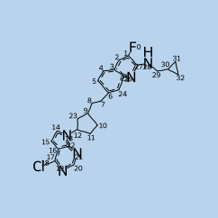 Fc1cc2ccc(CCC3CCC(n4ccc5c(Cl)ncnc54)C3)cc2nc1NCC1CC1